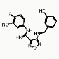 N#Cc1cccc(CNc2nonc2C(=N)Nc2ccc(F)c(C#N)c2)c1